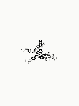 COc1ccc(CN(Cc2ccc(OC)cc2)S(=O)(=O)c2c(SC3CN(C(=O)OC(C)(C)C)C3)ccc(-c3cccc4[nH]c(N)nc34)c2-c2nnn(Cc3ccc(OC)cc3)n2)cc1